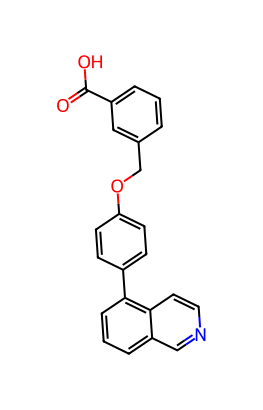 O=C(O)c1cccc(COc2ccc(-c3cccc4cnccc34)cc2)c1